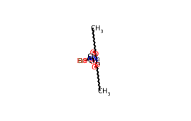 CCCCCCCCCCCCCC(=O)OCCN(CCOC(=O)CCCCCCCCCCCCC)C(=O)C[N+](C)(C)CCO.[Br-]